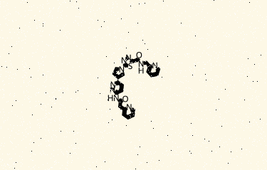 O=C(Cc1ccccn1)Nc1ccc([C@@H]2CCN(c3nnc(C(=O)NCc4ccccn4)s3)C2)nn1